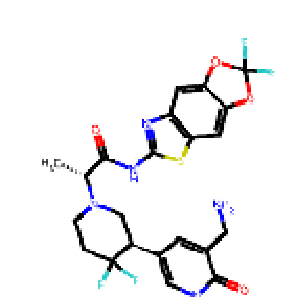 C[C@H](C(=O)Nc1nc2cc3c(cc2s1)OC(F)(F)O3)N1CCC(F)(F)[C@H](c2c[nH]c(=O)c(CN)c2)C1